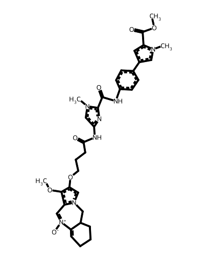 COC(=O)c1cc(-c2ccc(NC(=O)c3nc(NC(=O)CCCOc4cn5c(c4OC)C=[N+]([O-])C4=CCCCC4C5)cn3C)cc2)cn1C